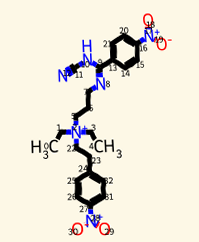 CC[N+](CC)(CCCN=C(NC#N)c1ccc([N+](=O)[O-])cc1)CCc1ccc([N+](=O)[O-])cc1